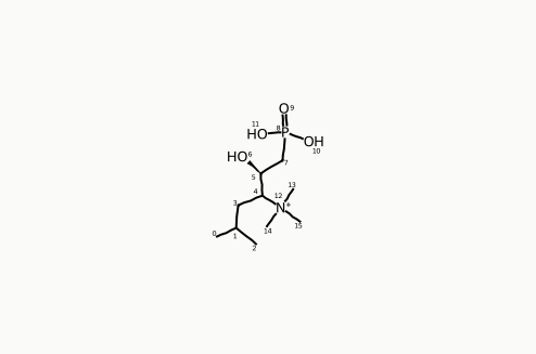 CC(C)CC([C@@H](O)CP(=O)(O)O)[N+](C)(C)C